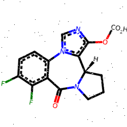 O=C(O)Oc1ncn2c1[C@@H]1CCCN1C(=O)c1c-2ccc(F)c1F